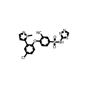 Cn1nccc1-c1cc(Cl)ccc1Oc1ccc(S(=O)(=O)Nc2nncs2)cc1C#N